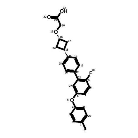 Cc1ccc(Oc2ccc(F)c(-c3ccc([C@H]4C[C@@H](OCC(=O)O)C4)cc3)c2)cc1